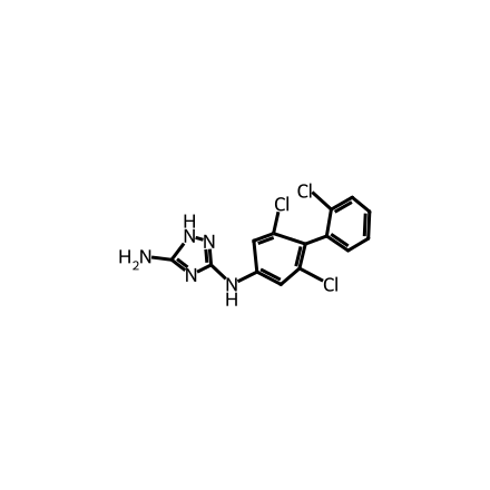 Nc1nc(Nc2cc(Cl)c(-c3ccccc3Cl)c(Cl)c2)n[nH]1